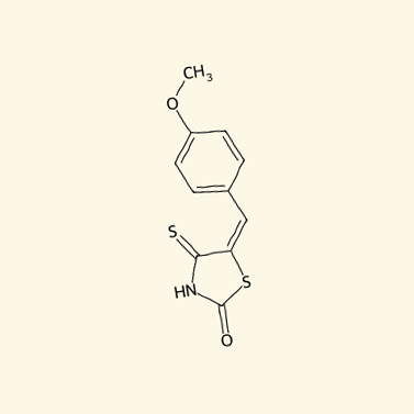 COc1ccc(C=C2SC(=O)NC2=S)cc1